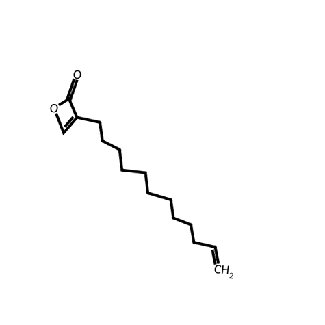 C=CCCCCCCCCCCC1=COC1=O